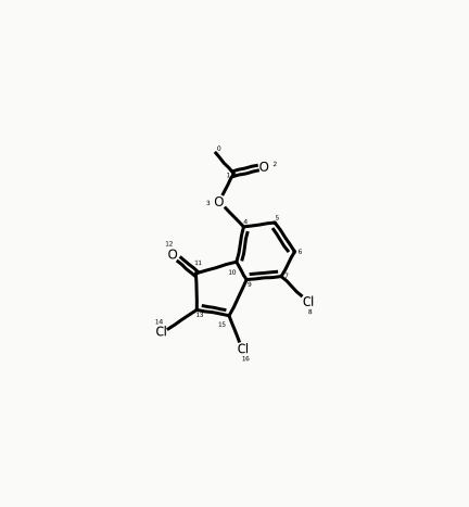 CC(=O)Oc1ccc(Cl)c2c1C(=O)C(Cl)=C2Cl